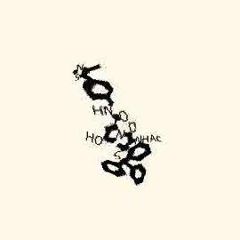 CC(=O)NC(C(=O)N1C[C@H](O)C[C@H]1C(=O)NCc1ccc(-c2scnc2C)cc1)C(C)(C)SC(c1ccccc1)(c1ccccc1)c1ccccc1